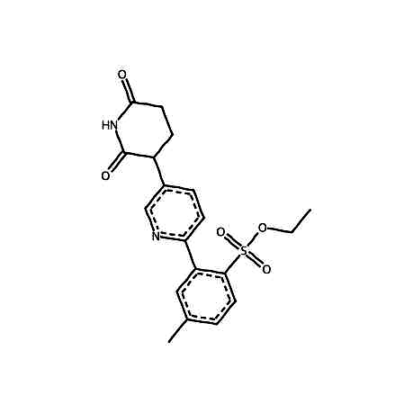 CCOS(=O)(=O)c1ccc(C)cc1-c1ccc(C2CCC(=O)NC2=O)cn1